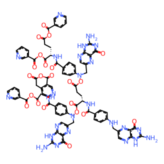 Nc1nc(=O)c2nc(CNc3ccc(C(=O)N[C@@H](CCC(=O)ON(Cc4cnc5[nH]c(N)nc(=O)c5n4)c4ccc(C(=O)N[C@@H](CCC(=O)OC(=O)c5cccnc5)C(=O)OC(=O)c5cccnc5)cc4)C(=O)ON(Cc4cnc5[nH]c(N)nc(=O)c5n4)c4ccc(C(=O)N[C@@H](CCC(=O)OC(=O)c5cccnc5)C(=O)OC(=O)c5cccnc5)cc4)cc3)cnc2[nH]1